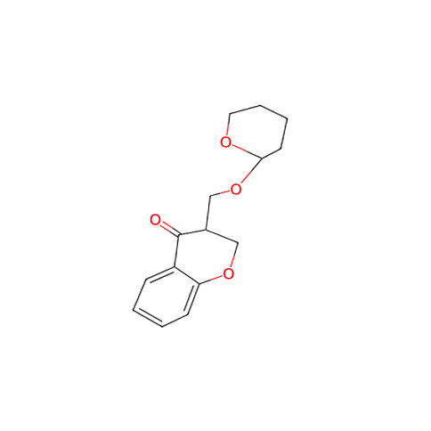 O=C1c2ccccc2OCC1COC1CCCCO1